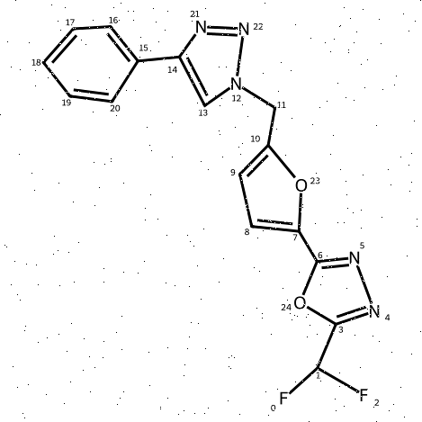 FC(F)c1nnc(-c2ccc(Cn3cc(-c4ccccc4)nn3)o2)o1